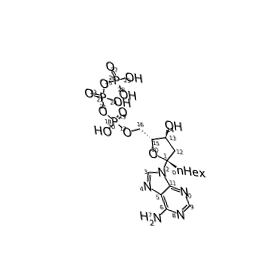 CCCCCC[C@]1(n2cnc3c(N)ncnc32)C[C@H](O)[C@@H](COP(=O)(O)OP(=O)(O)OP(=O)(O)O)O1